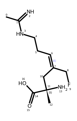 CC(=N)NCC/C=C(/CF)C[C@](C)(N)C(=O)O